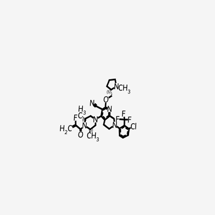 C=C(F)C(=O)N1[C@H](C)CN(c2c(C#N)c(OC[C@@H]3CCCN3C)nc3c2CCN(c2cccc(Cl)c2C(F)(F)F)C3)C[C@@H]1C